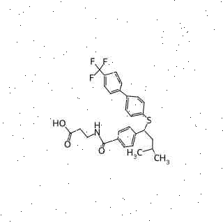 CC(C)CC(Sc1ccc(-c2ccc(C(F)(F)F)cc2)cc1)c1ccc(C(=O)NCCC(=O)O)cc1